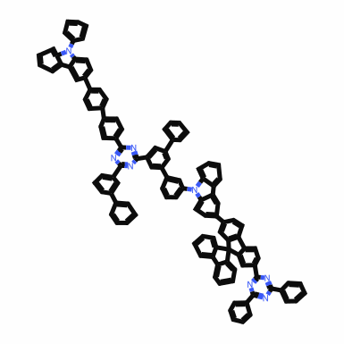 c1ccc(-c2cccc(-c3nc(-c4ccc(-c5ccc(-c6ccc7c(c6)c6ccccc6n7-c6ccccc6)cc5)cc4)nc(-c4cc(-c5ccccc5)cc(-c5cccc(-n6c7ccccc7c7cc(-c8ccc9c(c8)C8(c%10ccccc%10-c%10ccccc%108)c8cc(-c%10nc(-c%11ccccc%11)nc(-c%11ccccc%11)n%10)ccc8-9)ccc76)c5)c4)n3)c2)cc1